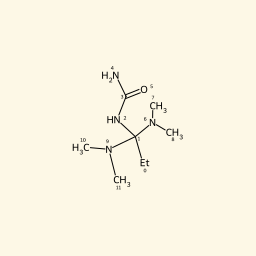 CCC(NC(N)=O)(N(C)C)N(C)C